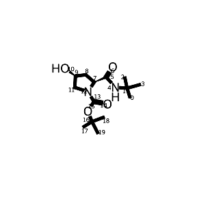 CC(C)(C)NC(=O)[C@@H]1C[C@H](O)CN1C(=O)OC(C)(C)C